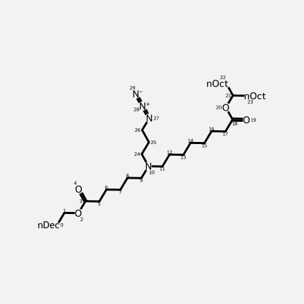 CCCCCCCCCCCOC(=O)CCCCCN(CCCCCCCC(=O)OC(CCCCCCCC)CCCCCCCC)CCCN=[N+]=[N-]